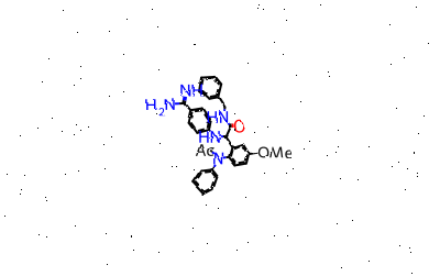 COc1ccc(N(C(C)=O)c2ccccc2)c(C(Nc2ccc(C(=N)N)cc2)C(=O)NCc2ccccc2)c1